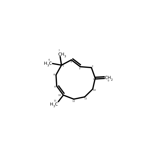 C=C1C/C=C/C(C)(C)C/C=C(/C)CCC1